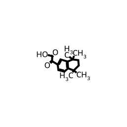 CC1(C)CCC(C)(C)c2cc(C(=O)C(=O)O)ccc21